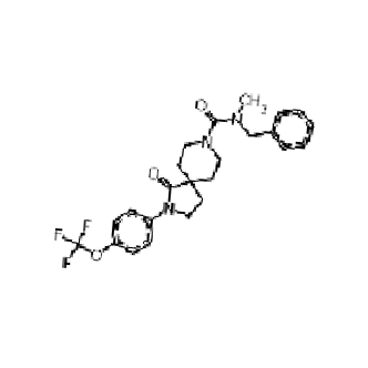 CN(Cc1ccccc1)C(=O)N1CCC2(CC1)CCN(c1ccc(OC(F)(F)F)cc1)C2=O